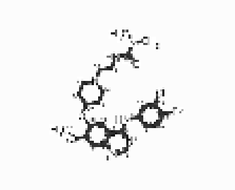 COc1cc2ncnc(Nc3ccc(F)c(Cl)c3)c2cc1OC1CCN(CCNC(=O)N(C)C)CC1